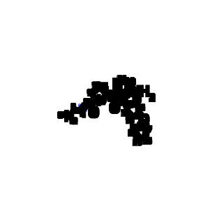 CN(C)C/C=C/C(=O)N1CCC[C@@H](n2c(=O)n(-c3ccc(Oc4ccccc4)cc3)c3c(N)ncnc32)C1